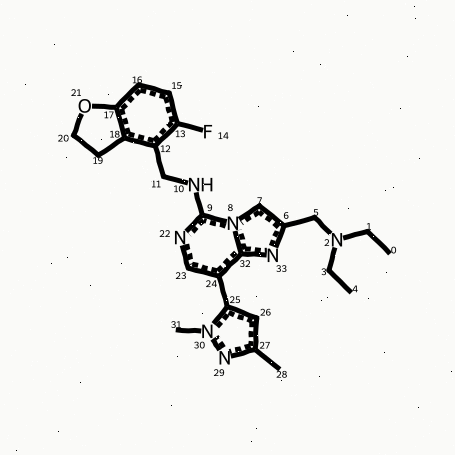 CCN(CC)Cc1cn2c(NCc3c(F)ccc4c3CCO4)ncc(-c3cc(C)nn3C)c2n1